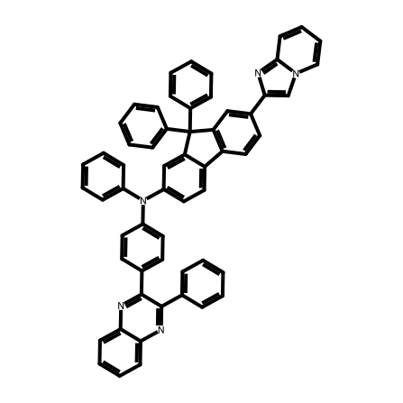 c1ccc(-c2nc3ccccc3nc2-c2ccc(N(c3ccccc3)c3ccc4c(c3)C(c3ccccc3)(c3ccccc3)c3cc(-c5cn6ccccc6n5)ccc3-4)cc2)cc1